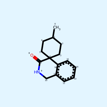 CC1CCC2(CC1)C(=O)NCc1ccccc12